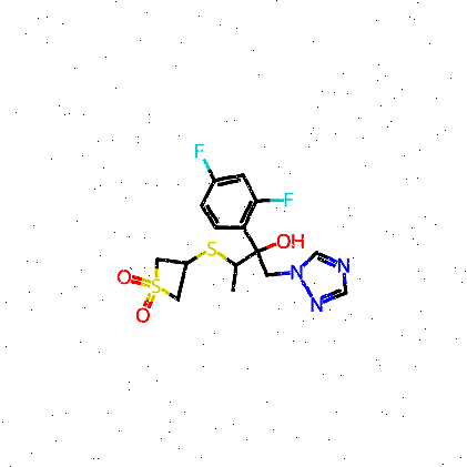 CC(SC1CS(=O)(=O)C1)C(O)(Cn1cncn1)c1ccc(F)cc1F